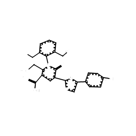 CCc1cccc(CC)c1-n1c(CC)c(C(=O)O)cc(-c2nc(-c3ccc(Cl)cc3)cs2)c1=O